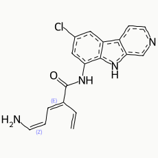 C=C/C(=C\C=C/N)C(=O)Nc1cc(Cl)cc2c1[nH]c1cnccc12